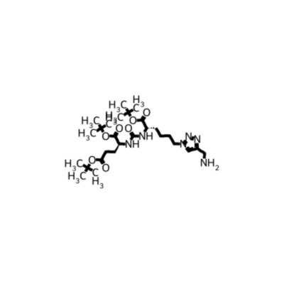 CC(C)(C)OC(=O)CC[C@H](NC(=O)N[C@@H](CCCCn1cc(CN)nn1)C(=O)OC(C)(C)C)C(=O)OC(C)(C)C